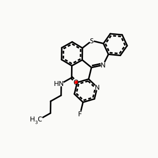 CCCCNC(=O)c1cccc2c1C(c1ccc(F)cn1)=Nc1ccccc1S2